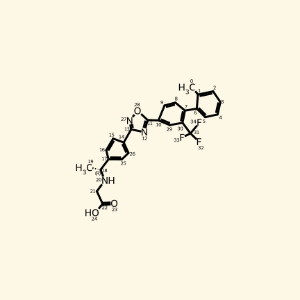 Cc1ccccc1-c1ccc(-c2nc(-c3ccc([C@@H](C)NCC(=O)O)cc3)no2)cc1C(F)(F)F